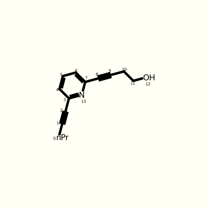 CCCC#Cc1cccc(C#CCCO)n1